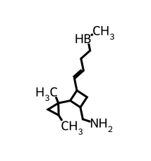 CBCCC=CC1CC(CN)C1C1(C)CC1C